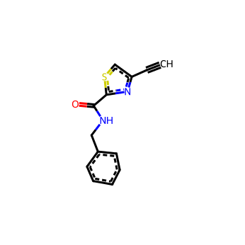 C#Cc1csc(C(=O)NCc2ccccc2)n1